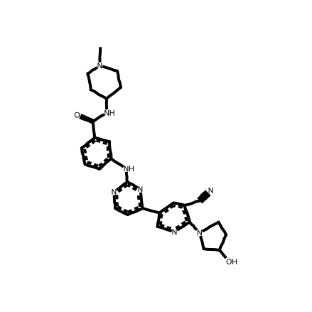 CN1CCC(NC(=O)c2cccc(Nc3nccc(-c4cnc(N5CCC(O)C5)c(C#N)c4)n3)c2)CC1